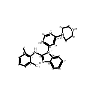 Cc1cccc(Cl)c1Nc1nc2ccccc2n1-c1cc(N2CCOCC2)ncn1